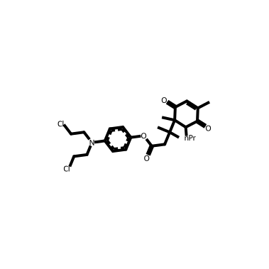 CCCC1C(=O)C(C)=CC(=O)C1(C)C(C)(C)CC(=O)Oc1ccc(N(CCCl)CCCl)cc1